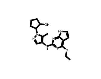 CCOc1nc(Nc2cnn(C3CCCC3O)c2C)nc2[nH]ccc12